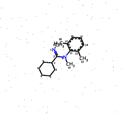 C/N=C(/C1CCCCC1)N(C)c1c(C)cccc1C